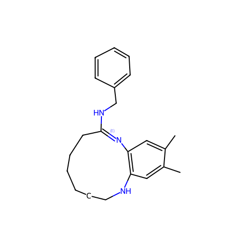 Cc1cc2c(cc1C)NCCCCCC/C(NCc1ccccc1)=N\2